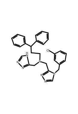 Clc1cccc(Cn2cnnc2CN(CCC(c2ccccc2)c2ccccc2)Cc2nnc[nH]2)c1